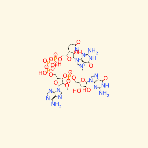 CO[C@@H]1[C@H](OP(=O)([O-])OC[C@H]2O[C@@H](n3cnc4c(=O)[nH]c(N)nc43)[C@H](O)[C@@H]2O)C(COP(=O)(O)OP(=O)(O)OP(=O)(O)OC[C@H]2OC(n3c[n+](C)c4c(=O)[nH]c(N)nc43)[C@H](O)[C@@H]2CCC(=O)N(C)C)O[C@H]1n1cnc2c(N)ncnc21